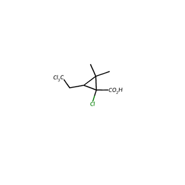 CC1(C)C(CC(Cl)(Cl)Cl)C1(Cl)C(=O)O